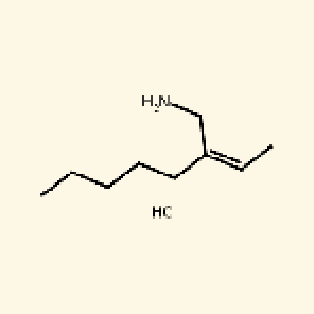 CC=C(CN)CCCCC.Cl